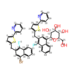 Fc1c(Cc2ccc(-c3ccccn3)s2)cc(Br)c2ccccc12.OC[C@H]1O[C@@H](c2cc(Cc3ccc(-c4ccccn4)s3)c(F)c3ccccc23)[C@H](O)[C@@H](O)[C@@H]1O